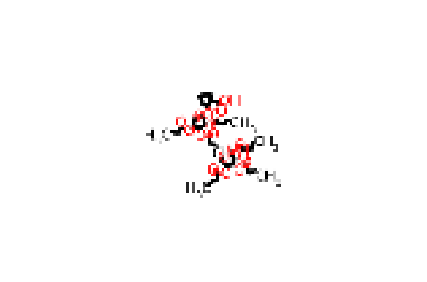 CCCC(=O)O[C@@H]1[C@H](OC(=O)CCC)COC(O)[C@@H]1OC(=O)CCC.CCCC(=O)O[C@@H]1[C@H](OC(=O)CCC)COC(Oc2ccccc2C(=O)O)[C@@H]1OC(=O)CCC